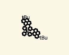 CC(C)(C)c1ccc2ccc3c(-c4cc(-c5ccc6ccc7c(C(C)(C)C)ccc8ccc5c6c87)cc([Si](c5ccccc5)(c5ccccc5)c5ccccc5)c4)ccc4ccc1c2c43